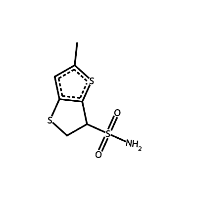 Cc1cc2c(s1)C(S(N)(=O)=O)CS2